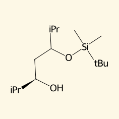 CC(C)C(C[C@@H](O)C(C)C)O[Si](C)(C)C(C)(C)C